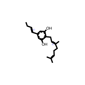 CC/C=C/c1cc(O)c(C/C=C(\C)CCC=C(C)C)c(O)c1